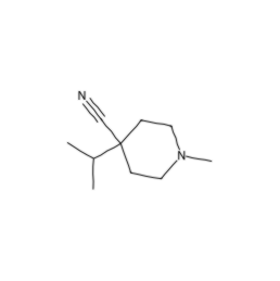 CC(C)C1(C#N)CCN(C)CC1